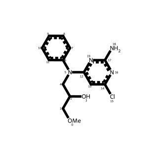 COCC(O)CN(c1ccccc1)c1cc(Cl)nc(N)n1